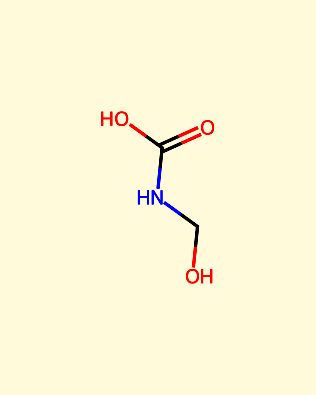 O=C(O)NCO